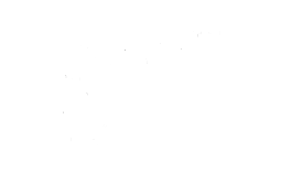 CCCCCCCCCCCCOC(=O)Oc1ccccc1